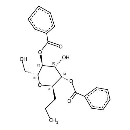 CCC[C@H]1O[C@H](CO)[C@@H](OC(=O)c2ccccc2)[C@H](O)[C@@H]1OC(=O)c1ccccc1